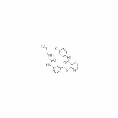 O=C(CNCCO)Nc1cc(CSc2ncccc2C(=O)Nc2ccc(Cl)cc2)ccn1